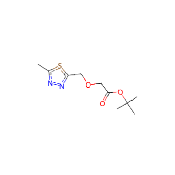 Cc1nnc(COCC(=O)OC(C)(C)C)s1